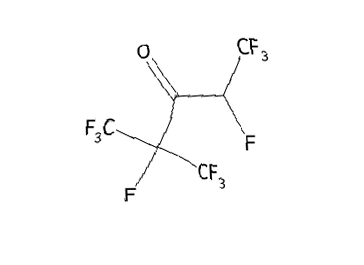 O=C(C(F)C(F)(F)F)C(F)(C(F)(F)F)C(F)(F)F